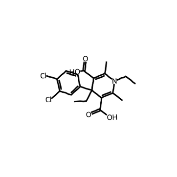 CCN1C(C)=C(C(=O)O)C(CC)(c2ccc(Cl)c(Cl)c2)C(C(=O)O)=C1C